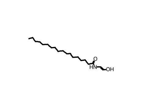 CCCCCCCCCCCCCCCCCC(=O)NC=CO